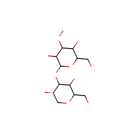 CC(C)OC1C(O)C(CO)OC(OC2C(O)C(CO)OC[C@H]2O)C1O